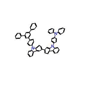 c1ccc(-c2cc(-c3ccccc3)cc(-c3ccc(-n4c5ccccc5c5cc(-c6ccc7c8ccccc8n(-c8ccc(N(c9ccccc9)c9ccccc9)cc8)c7c6)ccc54)cc3)c2)cc1